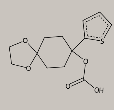 O=C(O)OC1(c2cccs2)CCC2(CC1)OCCO2